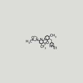 CCn1cc(Cc2c(C)ccn(-c3nc(N4CCO[C@H](C)C4)cc(C(F)(F)F)c3F)c2=O)cn1